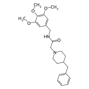 COc1cc(CNC(=O)CN2CCC(Cc3ccccc3)CC2)cc(OC)c1OC